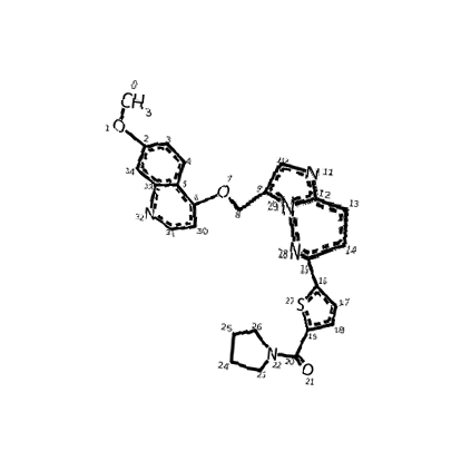 COc1ccc2c(OCc3cnc4ccc(-c5ccc(C(=O)N6CCCC6)s5)nn34)ccnc2c1